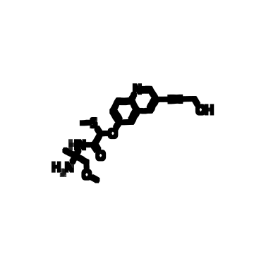 COCC(C)(N)NC(=O)C(Oc1ccc2ncc(C#CCO)cc2c1)SC